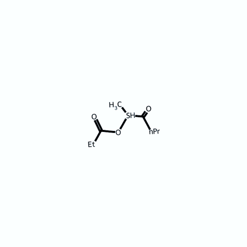 CCCC(=O)[SH](C)OC(=O)CC